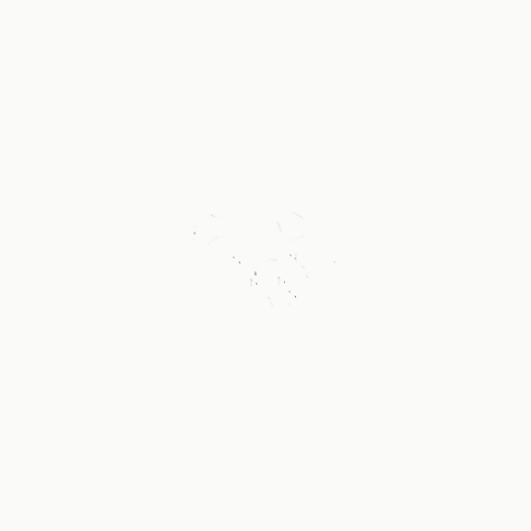 COc1ccc(CNc2cc(N(C(=O)OC(C)(C)C)c3cccc(F)c3)n3ncc(C4CCC4)c3n2)c(OC)c1